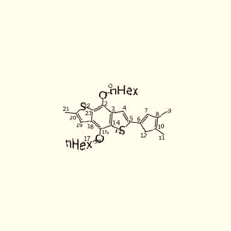 CCCCCCOc1c2cc(C3=CC(C)=C(C)C3)sc2c(OCCCCCC)c2cc(C)sc12